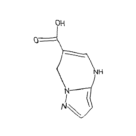 O=C(O)C1=CNc2ccnn2C1